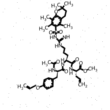 C=CCOc1ccc(C[C@@H](NC(C)=O)C(=O)N[C@@H](CCCNC(=N)NS(=O)(=O)c2c(C)c(C)c3c(c2C)CCC(C)(C)O3)C(=O)N[C@@H](CC=C)C(=O)OC)cc1